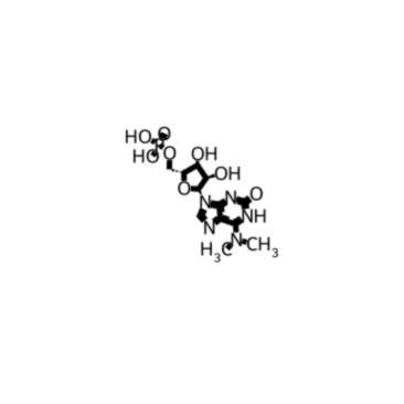 CN(C)c1[nH]c(=O)nc2c1ncn2[C@@H]1O[C@H](COP(=O)(O)O)[C@@H](O)[C@H]1O